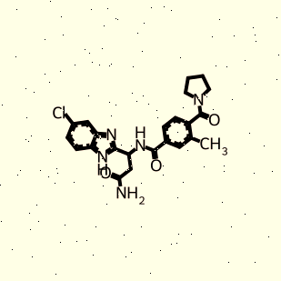 Cc1cc(C(=O)NC(CC(N)=O)c2nc3cc(Cl)ccc3[nH]2)ccc1C(=O)N1CCCC1